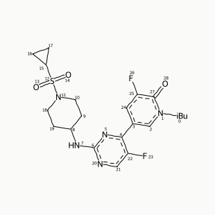 CCC(C)n1cc(-c2nc(NC3CCN(S(=O)(=O)C4CC4)CC3)ncc2F)cc(F)c1=O